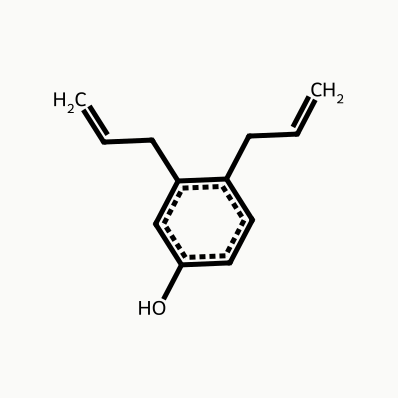 C=CCc1ccc(O)cc1CC=C